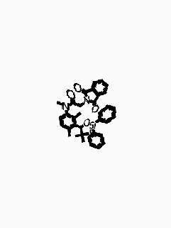 Cc1ccc(N(C)C(=O)CN2C(=O)c3ccccc3C2=O)c(C)c1C(O[SiH](c1ccccc1)c1ccccc1)C(C)(C)C